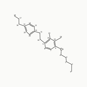 CCCCCOc1ccc(CCc2ccc(CCC)cc2)c(C)c1C